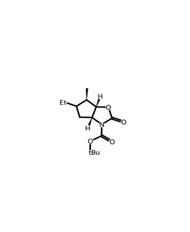 CCC1C[C@@H]2[C@@H](OC(=O)N2C(=O)OC(C)(C)C)[C@@H]1C